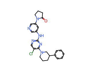 O=C1CCCN1c1cncc(Nc2ncc(Cl)c(N3CCCC(c4ccccc4)C3)n2)c1